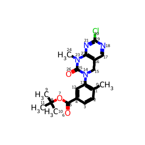 Cc1ccc(C(=O)OC(C)(C)C)cc1N1Cc2cnc(Cl)nc2N(C)C1=O